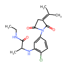 CCNC(=O)C(C)Nc1cc(N2C(=O)CC(=C(C)C)C2=O)ccc1Cl